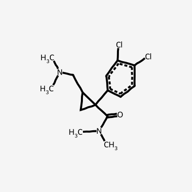 CN(C)CC1CC1(C(=O)N(C)C)c1ccc(Cl)c(Cl)c1